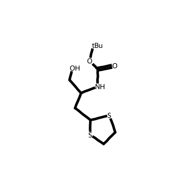 CC(C)(C)OC(=O)NC(CO)CC1SCCS1